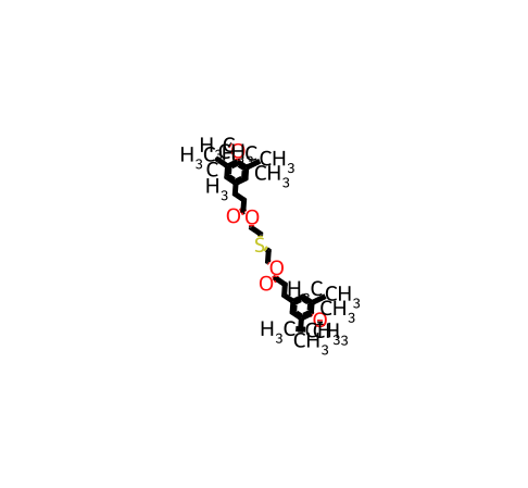 COc1c(C(C)(C)C)cc(CCC(=O)OCCSCCOC(=O)CCc2cc(C(C)(C)C)c(OC)c(C(C)(C)C)c2)cc1C(C)(C)C